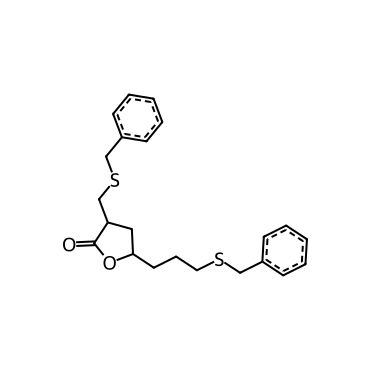 O=C1OC(CCCSCc2ccccc2)CC1CSCc1ccccc1